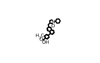 Cc1cc(-c2cccc3cc(CC4CCN(C5CCCCC5)C4=O)ccc23)ccc1C(=O)O